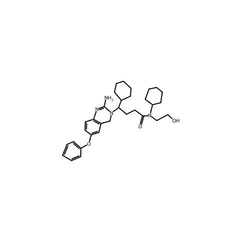 NC1=Nc2ccc(Oc3ccccc3)cc2CN1C(CCC(=O)N(CCO)C1CCCCC1)C1CCCCC1